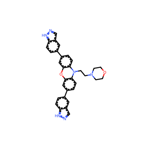 c1cc2c(cc1-c1ccc3[nH]ncc3c1)Oc1cc(-c3ccc4[nH]ncc4c3)ccc1N2CCN1CCOCC1